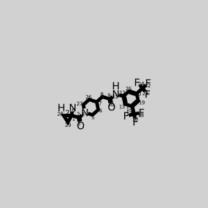 NC1(C(=O)N2CCC(CC(=O)Nc3cc(C(F)(F)F)cc(C(F)(F)F)c3)CC2)CC1